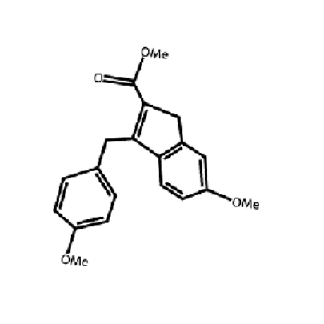 COC(=O)C1=C(Cc2ccc(OC)cc2)c2ccc(OC)cc2C1